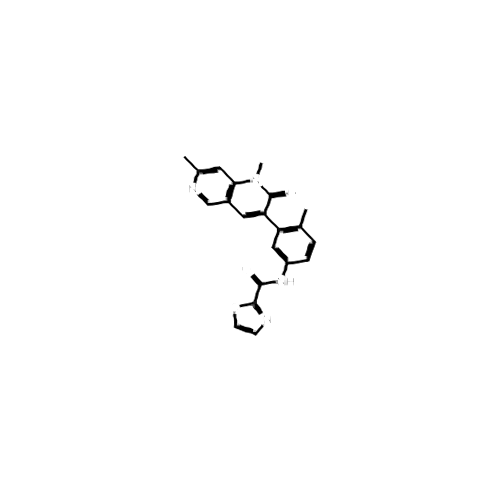 Cc1cc2c(cn1)cc(-c1cc(NC(=O)c3nccs3)ccc1C)c(=O)n2C